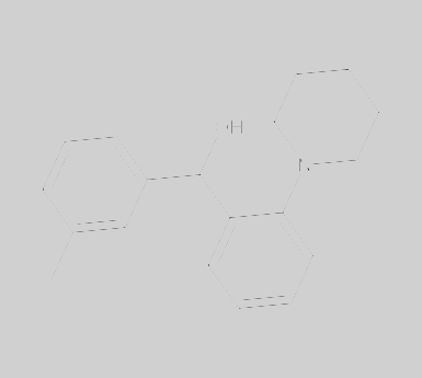 Cc1cccc(C(O)c2ccccc2N2CCCCC2)c1